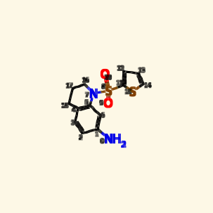 Nc1ccc2c(c1)N(S(=O)(=O)c1cccs1)CCC2